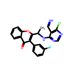 CC(Nc1ncnc(Cl)c1C=N)c1oc2ccccc2c(=O)c1-c1cccc(F)c1